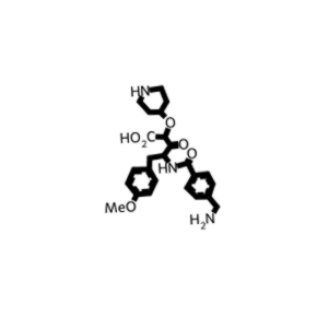 COc1ccc(CC(NC(=O)c2ccc(CN)cc2)C(=O)C(OC2CCNCC2)C(=O)O)cc1